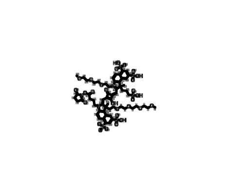 COCCOCCOCCOCCC1(C)/C(=C\C2=C(O)C(=C/C3=[N+](CCOCCOCCOC)c4ccc5c(S(=O)(=O)O)cc(S(=O)(=O)O)cc5c4C3(C)CCCS(=O)(=O)O)/C2=O)N(CCCC(=O)ON2C(=O)CCC2=O)c2ccc3c(S(=O)(=O)[O-])cc(S(=O)(=O)O)cc3c21